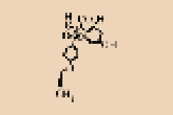 CC#CCOc1ccc(S(=O)(=O)N(C)C(C(=O)O)c2ccc(O)cc2)cc1